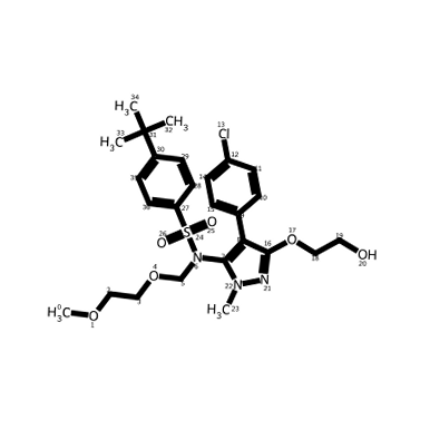 COCCOCN(c1c(-c2ccc(Cl)cc2)c(OCCO)nn1C)S(=O)(=O)c1ccc(C(C)(C)C)cc1